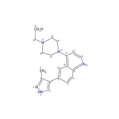 Cc1n[nH]cc1-c1ccc2nccc(N3CCN(CC(=O)O)CC3)c2c1